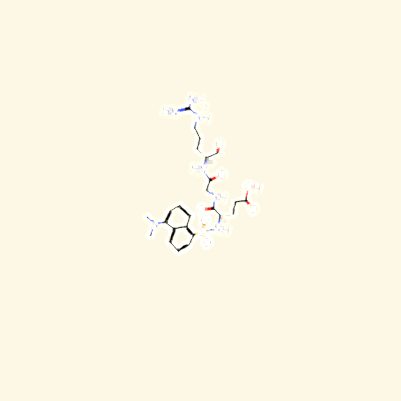 CN(C)c1cccc2c(S(=O)(=O)N[C@@H](CCC(=O)O)C(=O)NCC(=O)N[C@H]([C]=O)CCCNC(=N)N)cccc12